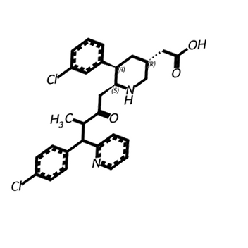 CC(C(=O)C[C@@H]1NC[C@@H](CC(=O)O)C[C@@H]1c1cccc(Cl)c1)C(c1ccc(Cl)cc1)c1ccccn1